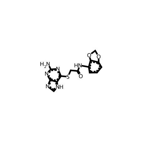 Nc1nc(SCC(=O)Nc2cccc3c2OCO3)c2[nH]cnc2n1